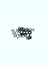 C=C(N)C1=C(C)C(N(C)C)[C@@H]2C[C@@H]3Cc4c(-c5cnccn5)ccc(O)c4C(=O)C3=C(O)[C@]2(O)C1=O